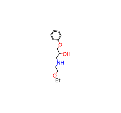 [CH2]COCCNCC(O)COc1ccccc1